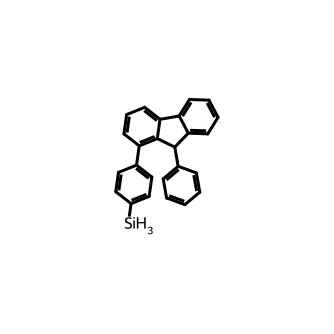 [SiH3]c1ccc(-c2cccc3c2C(c2ccccc2)c2ccccc2-3)cc1